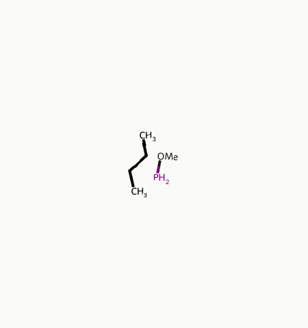 CCCC.COP